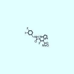 COC(=O)c1c(F)c(C(=O)NCc2ccc(F)c(I)c2)nc2ccnn12